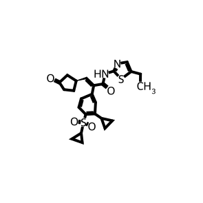 CCc1cnc(NC(=O)/C(=C/[C@H]2CCC(=O)C2)c2ccc(S(=O)(=O)C3CC3)c(C3CC3)c2)s1